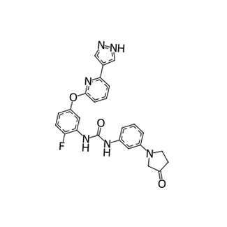 O=C1CCN(c2cccc(NC(=O)Nc3cc(Oc4cccc(-c5cn[nH]c5)n4)ccc3F)c2)C1